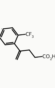 C=C(CCC(=O)O)c1cc[c]cc1C(F)(F)F